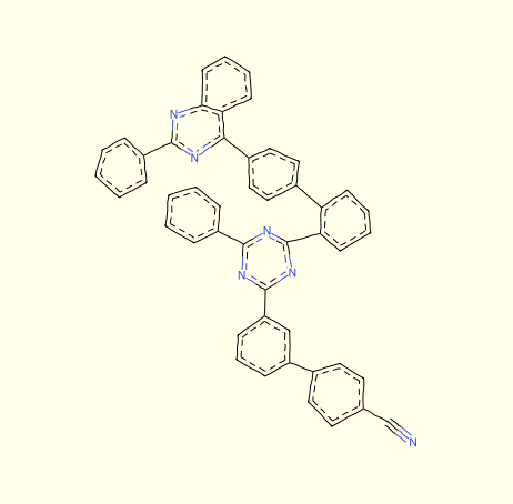 N#Cc1ccc(-c2cccc(-c3nc(-c4ccccc4)nc(-c4ccccc4-c4ccc(-c5nc(-c6ccccc6)nc6ccccc56)cc4)n3)c2)cc1